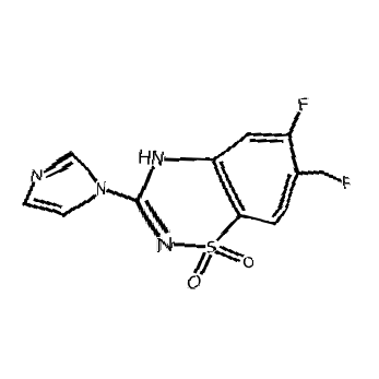 O=S1(=O)N=C(n2ccnc2)Nc2cc(F)c(F)cc21